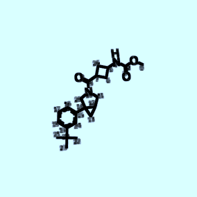 COC(=O)NC1CC(C(=O)N2CC3CC3(c3cccc(C(C)(C)C)c3)C2)C1